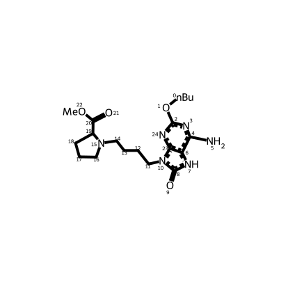 CCCCOc1nc(N)c2[nH]c(=O)n(CCCCN3CCCC3C(=O)OC)c2n1